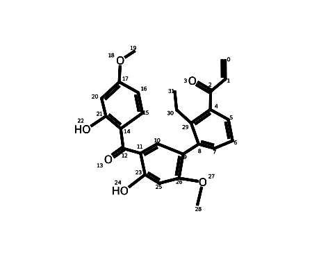 C=CC(=O)c1cccc(-c2cc(C(=O)c3ccc(OC)cc3O)c(O)cc2OC)c1CC